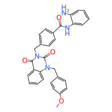 COc1ccc(Cn2c(=O)n(Cc3ccc(C(=O)Nc4ccccc4N)cc3)c(=O)c3ccccc32)cc1